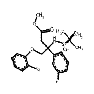 COC(=O)CC(COc1ccccc1Br)(N[S+]([O-])C(C)(C)C)c1cccc(F)c1